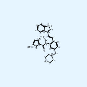 Cc1ccsc1C(=O)Nc1cc(CN2CCOCC2)ccc1/C=C/c1n[nH]c2ccccc12.Cl